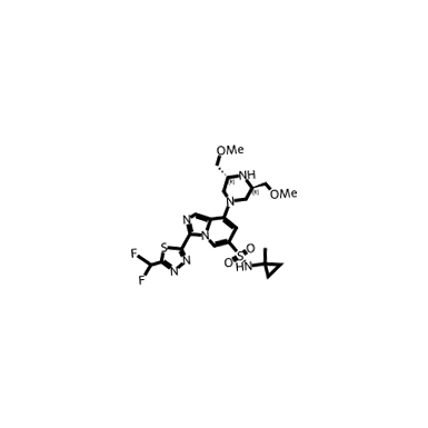 COC[C@H]1CN(c2cc(S(=O)(=O)NC3(C)CC3)cn3c(-c4nnc(C(F)F)s4)ncc23)C[C@H](COC)N1